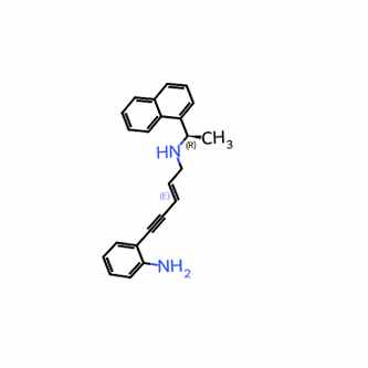 C[C@@H](NC/C=C/C#Cc1ccccc1N)c1cccc2ccccc12